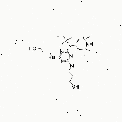 CCC(C)(C)N(c1nc(NCCCO)nc(NCCCO)n1)C1CC(C)(C)NC(C)(C)C1